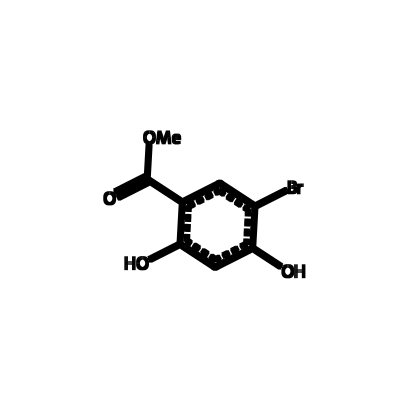 COC(=O)c1cc(Br)c(O)cc1O